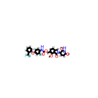 COc1c(COC(=O)Nc2ccc(Oc3ccccc3C(F)F)cc2F)ccc2c1C(=O)N(C1CCC(=O)NC1=O)C2